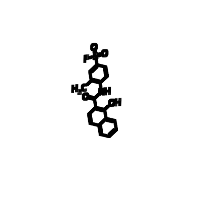 Cc1cc(S(=O)(=O)F)ccc1NC(=O)c1ccc2ccccc2c1O